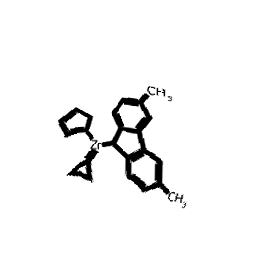 Cc1ccc2c(c1)-c1cc(C)ccc1[CH]2[Zr]([C]1=CC=CC1)=[C]1CC1